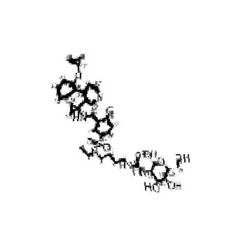 CCN(CCCCNC(=O)N[C@@H]1[C@@H](O)[C@H](O)[C@@H](CO)O[C@H]1O)S(=O)(=O)c1ccc(Cl)c(CNC2(c3cnccc3-c3ccccc3OC3CC3)CC2)c1